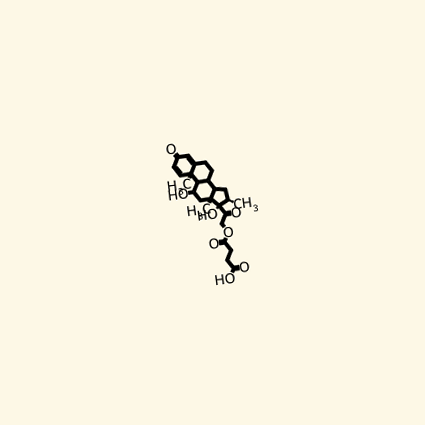 C[C@@H]1CC2C3CCC4=CC(=O)C=CC4(C)C3C(O)CC2(C)[C@@]1(O)C(=O)COC(=O)CCC(=O)O